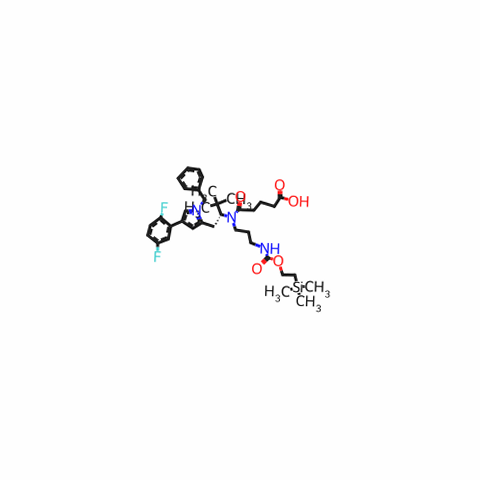 CC(C)(C)[C@@H](Cc1cc(-c2cc(F)ccc2F)cn1Cc1ccccc1)N(CCCNC(=O)OCC[Si](C)(C)C)C(=O)CCCC(=O)O